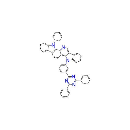 c1ccc(-c2nc(-c3ccccc3)nc(-c3cccc(-n4c5ccccc5c5cnc6c(ccc7c8ccccc8n(-c8ccccc8)c76)c54)c3)n2)cc1